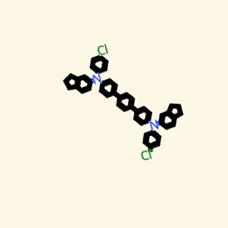 Clc1ccc(N(c2ccc(-c3ccc(-c4ccc(N(c5ccc(Cl)cc5)c5ccc6c(c5)CCC6)cc4)cc3)cc2)c2ccc3c(c2)CCC3)cc1